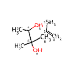 C=C[SiH3].CC(O)C(C)(C)O